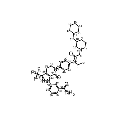 CCN(C(=O)CN1CCCC(CC2CCCCC2)C1)c1ccc(N2CCc3c(C(F)(F)F)nn(-c4cccc(C(N)=O)c4)c3C2=O)cc1